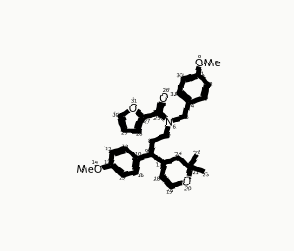 COc1ccc(CN(CCC(c2ccc(OC)cc2)C2CCOC(C)(C)C2)C(=O)c2ccco2)cc1